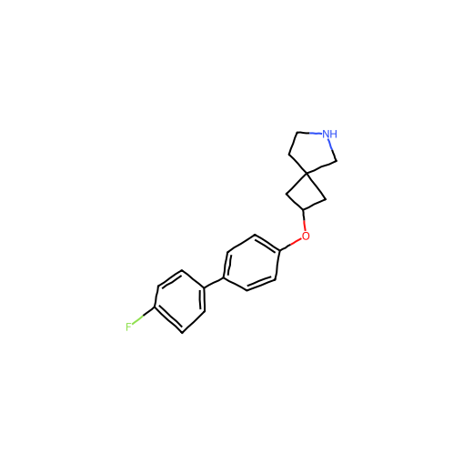 Fc1ccc(-c2ccc(OC3CC4(CCNC4)C3)cc2)cc1